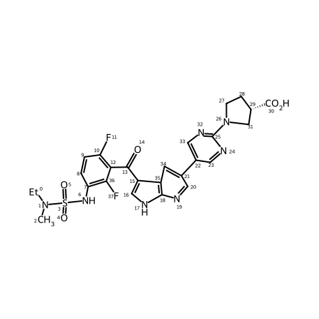 CCN(C)S(=O)(=O)Nc1ccc(F)c(C(=O)c2c[nH]c3ncc(-c4cnc(N5CC[C@H](C(=O)O)C5)nc4)cc23)c1F